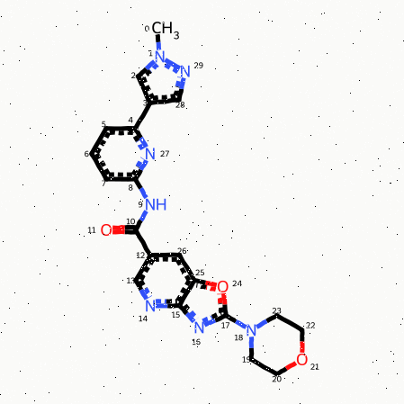 Cn1cc(-c2cccc(NC(=O)c3cnc4nc(N5CCOCC5)oc4c3)n2)cn1